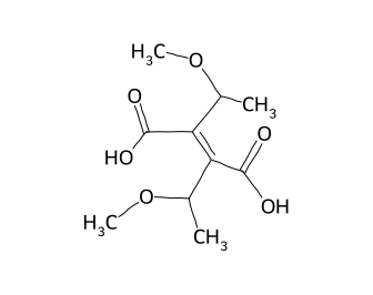 COC(C)C(C(=O)O)=C(C(=O)O)C(C)OC